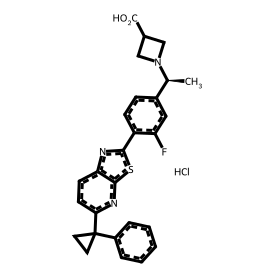 C[C@@H](c1ccc(-c2nc3ccc(C4(c5ccccc5)CC4)nc3s2)c(F)c1)N1CC(C(=O)O)C1.Cl